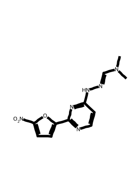 CN(C)C=NNc1ccnc(-c2ccc([N+](=O)[O-])o2)n1